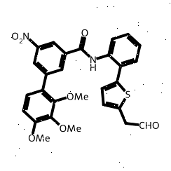 COc1ccc(-c2cc(C(=O)Nc3ccccc3-c3ccc(CC=O)s3)cc([N+](=O)[O-])c2)c(OC)c1OC